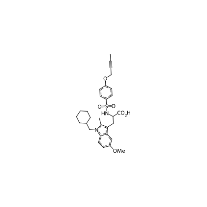 CC#CCOc1ccc(S(=O)(=O)NC(Cc2c(C)n(CC3CCCCC3)c3ccc(OC)cc23)C(=O)O)cc1